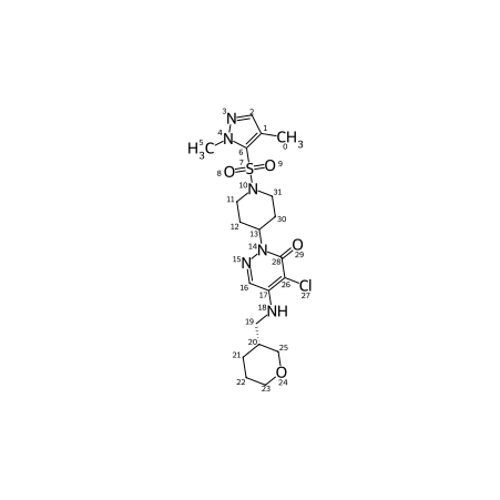 Cc1cnn(C)c1S(=O)(=O)N1CCC(n2ncc(NC[C@H]3CCCOC3)c(Cl)c2=O)CC1